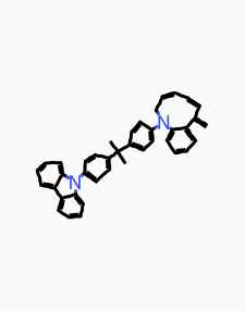 C=C1/C=C\C=C/CN(c2ccc(C(C)(C)c3ccc(-n4c5ccccc5c5ccccc54)cc3)cc2)c2ccccc21